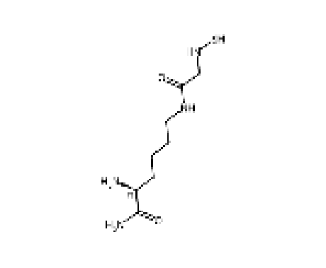 NC(=O)[C@@H](N)CCCCNC(=O)CNS